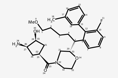 COCCCCC(c1cccc(F)c1-c1cccc(C)c1)[C@H]1CN(C(=O)[C@H]2C[C@@H](N)[C@@H](O)C2)CCO1